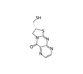 O=c1c2nccnc2nc2n1C[C@H](CS)S2